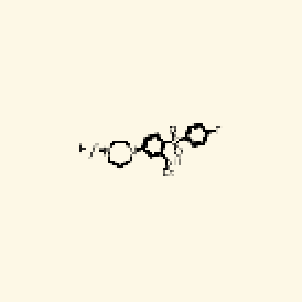 CCNc1cc(N2CCCN(C)CC2)ccc1S(=O)(=O)c1ccc(F)cc1